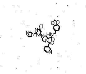 O=C(NCc1ccc2c(c1)OCO2)C1CN(c2cc(Cl)nc(-n3ccnc3)n2)CCN1C(=O)c1cccnc1